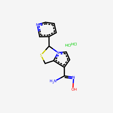 Cl.Cl.NC(=NO)c1ccn2c1CSC2c1cccnc1